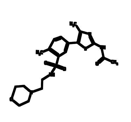 CC(=O)Nc1nc(C)c(-c2ccc(C)c(S(=O)(=O)NCCN3CCOCC3)c2)s1